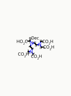 CCCCCCCCCCC(C(=O)O)N(CCN(CC(=O)O)CC(=O)O)CCN(CC(=O)O)CC(=O)O